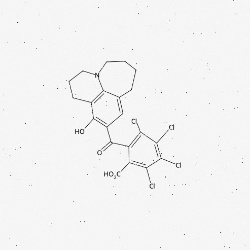 O=C(O)c1c(Cl)c(Cl)c(Cl)c(Cl)c1C(=O)c1cc2c3c(c1O)CCCN3CCCC2